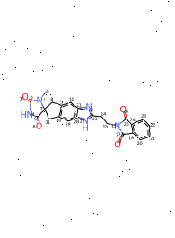 CN1C(=O)NC(=O)C12Cc1cc3nc(CCN4C(=O)c5ccccc5C4=O)[nH]c3cc1C2